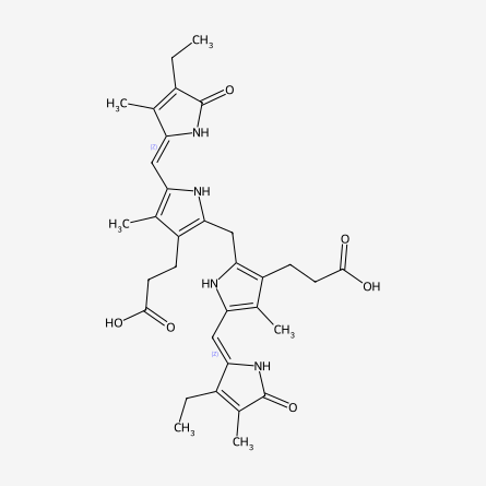 CCC1=C(C)/C(=C/c2[nH]c(Cc3[nH]c(/C=C4\NC(=O)C(C)=C4CC)c(C)c3CCC(=O)O)c(CCC(=O)O)c2C)NC1=O